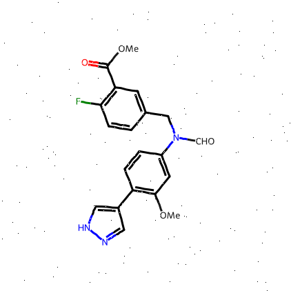 COC(=O)c1cc(CN(C=O)c2ccc(-c3cn[nH]c3)c(OC)c2)ccc1F